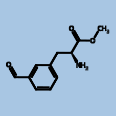 COC(=O)[C@@H](N)Cc1cccc(C=O)c1